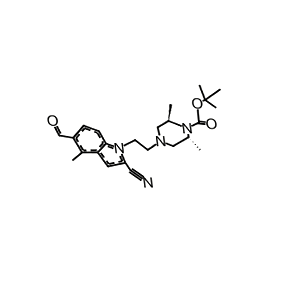 Cc1c(C=O)ccc2c1cc(C#N)n2CCN1C[C@@H](C)N(C(=O)OC(C)(C)C)[C@H](C)C1